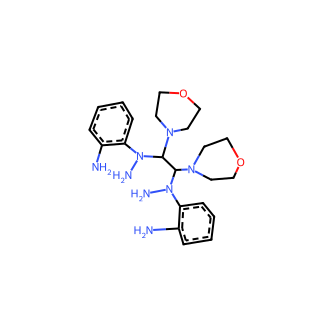 Nc1ccccc1N(N)C(C(N1CCOCC1)N(N)c1ccccc1N)N1CCOCC1